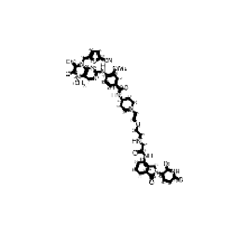 CCC1C(=O)N(C)c2cnc(Nc3ccc(C(=O)NC4CCN(CCOCCNCC(=O)Nc5cccc6c5CN(C5CCC(=O)NC5=O)C6=O)CC4)cc3OC)nc2N1Cc1ccc(C#N)s1